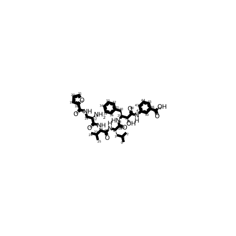 CC(C)C[C@H](NC(=O)[C@@H](NC(=O)[C@@H](N)CNC(=O)c1ccco1)C(C)C)C(=O)N[C@@H](Cc1ccccc1)[C@@H](O)C(=O)Nc1cccc(C(=O)O)c1